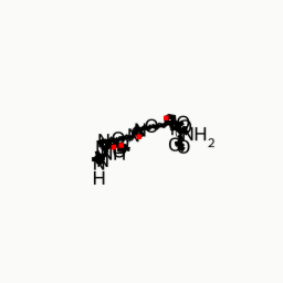 COC(=O)CC[C@@H](C(N)=O)N1Cc2c(CCCOCCN3CCN(CCCOc4cc5ncnc(Nc6n[nH]c(C)c6C)c5cc4S(=O)(=O)C(C)(C)C)CC3)cccc2C1=O